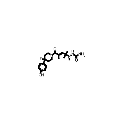 C/C(=C\C(C)(C)N(C)NC(N)=O)C(=O)N1CCC(F)(c2ccc(C#N)cc2)CC1